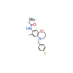 Cc1cc2c(cc1NC(=O)CC(C)(C)C)OCCCN2Cc1ccc(F)cc1